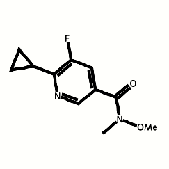 CON(C)C(=O)c1cnc(C2CC2)c(F)c1